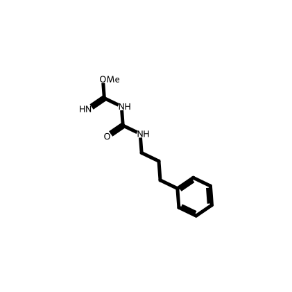 COC(=N)NC(=O)NCCCc1ccccc1